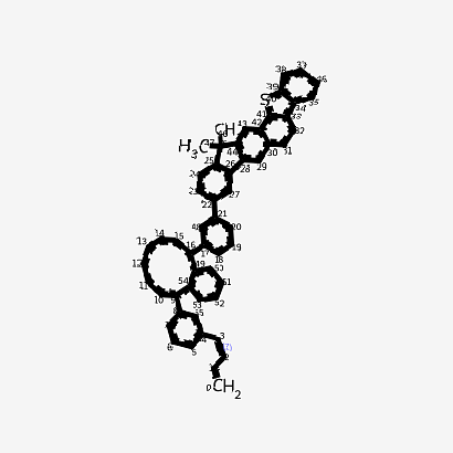 C=C/C=C\c1cccc(-c2ccccccc(-c3cccc(-c4ccc5c(c4)-c4cc6ccc7c8ccccc8sc7c6cc4C5(C)C)c3)c3ccccc23)c1